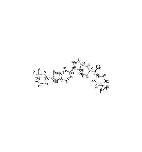 CC1(C)CN(c2nc3ccc(-n4ccc5cc(C(=O)N6CCC(F)(F)CC6)cnc54)cn3n2)CCO1